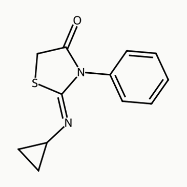 O=C1CS/C(=N\C2CC2)N1c1ccccc1